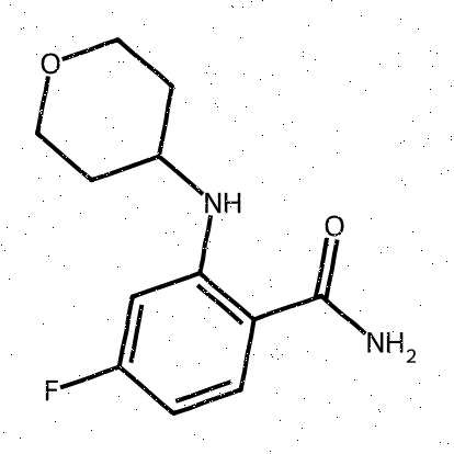 NC(=O)c1ccc(F)cc1NC1CCOCC1